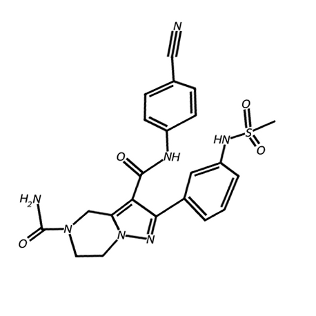 CS(=O)(=O)Nc1cccc(-c2nn3c(c2C(=O)Nc2ccc(C#N)cc2)CN(C(N)=O)CC3)c1